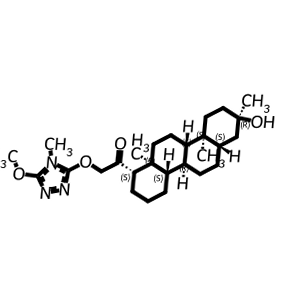 COc1nnc(OCC(=O)[C@H]2CCC[C@H]3[C@@H]4CC[C@H]5C[C@](C)(O)CC[C@]5(C)[C@H]4CC[C@]23C)n1C